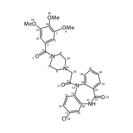 COc1cc(C(=O)N2CCN(CC(=O)N3c4ccc(Cl)cc4NC(=O)c4ccccc43)CC2)cc(OC)c1OC